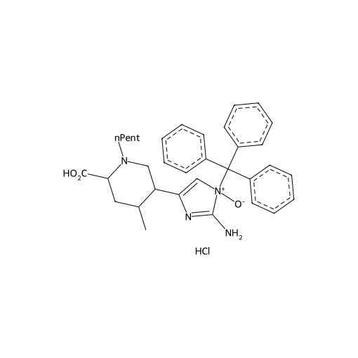 CCCCCN1CC(C2=C[N+]([O-])(C(c3ccccc3)(c3ccccc3)c3ccccc3)C(N)=N2)C(C)CC1C(=O)O.Cl